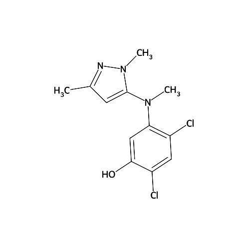 Cc1cc(N(C)c2cc(O)c(Cl)cc2Cl)n(C)n1